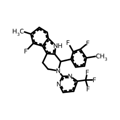 Cc1ccc(C2c3[nH]c4ccc(C)c(F)c4c3CCN2c2nccc(C(F)(F)F)n2)c(F)c1F